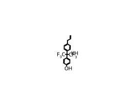 C=CCc1ccc(C(c2ccc(O)cc2)(C(F)(F)F)C(F)(F)F)cc1.[KH]